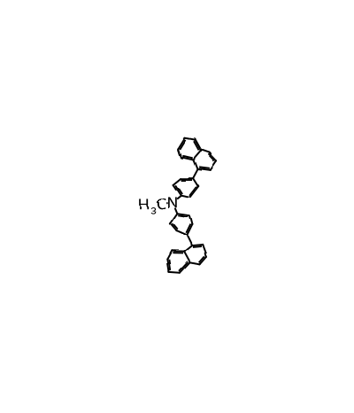 CN(c1ccc(-c2cccc3ccccc23)cc1)c1ccc(-c2cccc3ccccc23)cc1